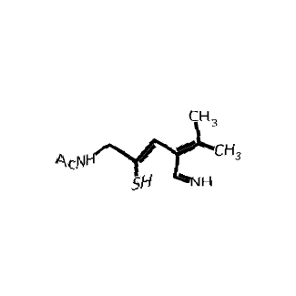 CC(=O)NC/C(S)=C/C(C=N)=C(C)C